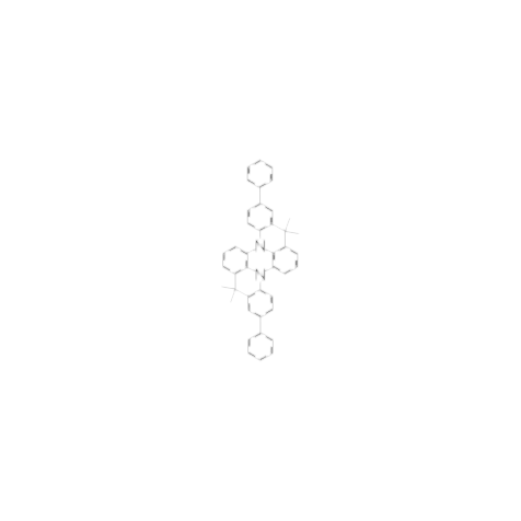 CC1(C)c2cc(-c3ccccc3)ccc2N2c3cccc4c3N(c3ccc(-c5ccccc5)cc3C4(C)C)c3cccc1c32